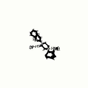 CCNc1ccccc1N1CCN(c2cc3ccccc3[nH]2)C(C=O)C1